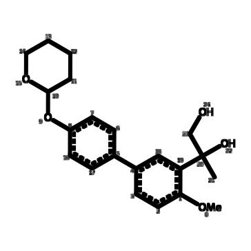 COc1ccc(-c2ccc(OC3CCCCO3)cc2)cc1C(C)(O)CO